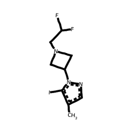 Cc1cnn(C2CN(CC(F)F)C2)c1I